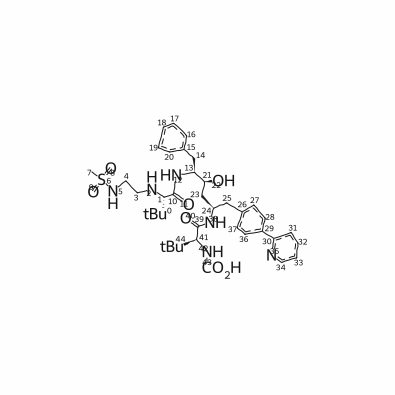 CC(C)(C)[C@H](NCCNS(C)(=O)=O)C(=O)N[C@@H](Cc1ccccc1)[C@@H](O)C[C@@H](Cc1ccc(-c2ccccn2)cc1)NC(=O)[C@@H](NC(=O)O)C(C)(C)C